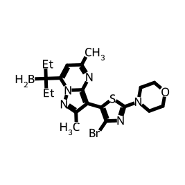 BC(CC)(CC)c1cc(C)nc2c(-c3sc(N4CCOCC4)nc3Br)c(C)nn12